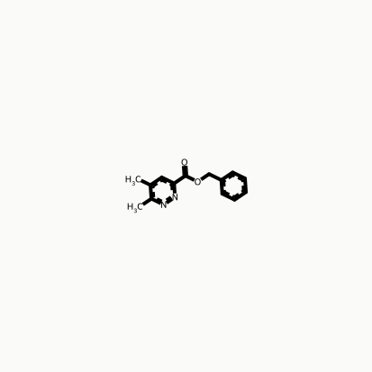 Cc1cc(C(=O)OCc2ccccc2)nnc1C